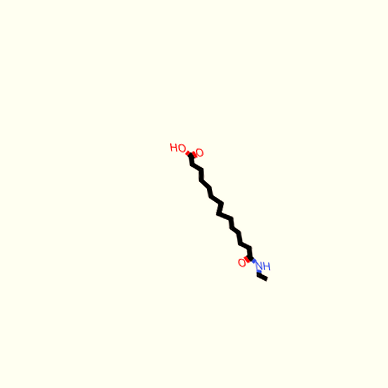 CCNC(=O)CCCCCCCCCCCCC(=O)O